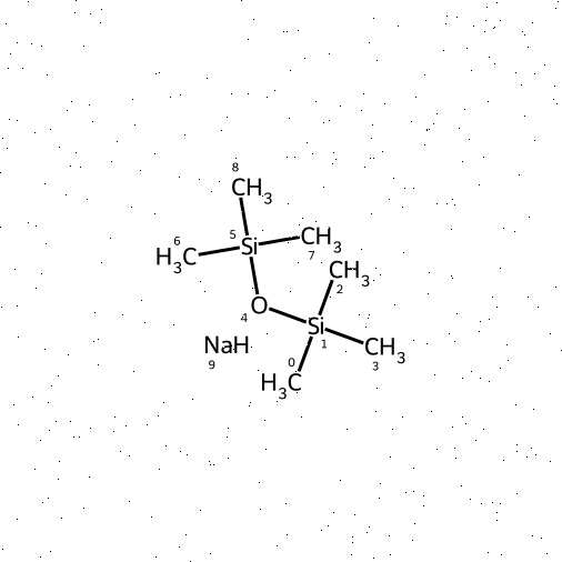 C[Si](C)(C)O[Si](C)(C)C.[NaH]